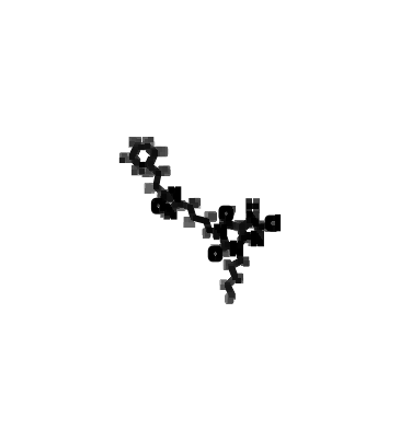 CCCCCn1c(=O)n(CCCCc2noc(CCc3ccccc3)n2)c(=O)c2[nH]c(Cl)nc21